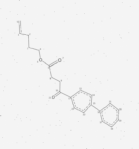 C=CCCCOC(=O)CCC(=O)c1ccc(-c2ccccc2)cc1